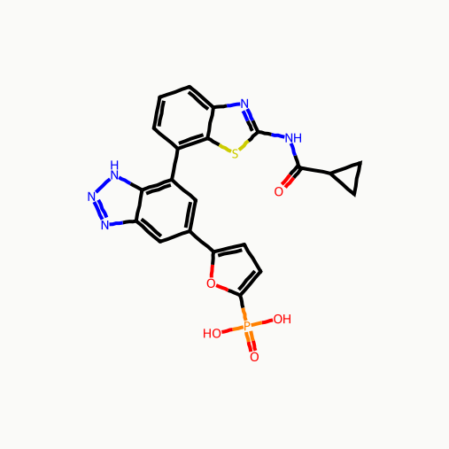 O=C(Nc1nc2cccc(-c3cc(-c4ccc(P(=O)(O)O)o4)cc4nn[nH]c34)c2s1)C1CC1